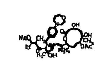 CC[C@H](OC)[C@@H](C)C1O[C@@H]1C(NCc1ccc(N2CCCOCC2)cc1)C(C)(O)/C=C/C=C(\C)[C@H]1OC(=O)C[C@H](O)CC[C@@](C)(O)[C@@H](OC(C)=O)/C=C/[C@@H]1C